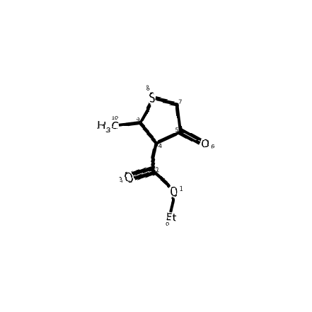 CCOC(=O)C1C(=O)CSC1C